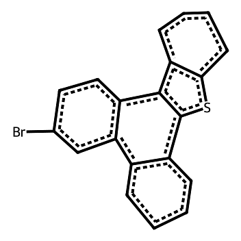 Brc1ccc2c(c1)c1ccccc1c1sc3ccccc3c21